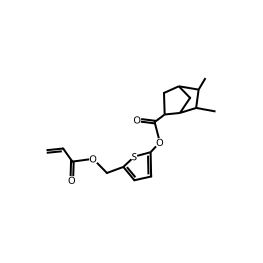 C=CC(=O)OCc1ccc(OC(=O)C2CC3CC2C(C)C3C)s1